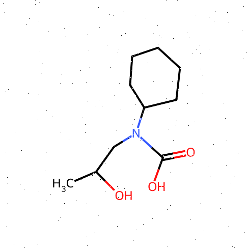 CC(O)CN(C(=O)O)C1CCCCC1